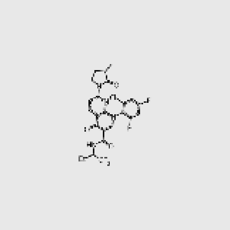 CCC(NC(=O)c1cn(-c2c(F)cc(F)cc2Cl)c2nc(N3CCC(C)C3=O)ccc2c1=O)C(F)(F)F